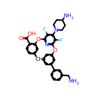 Cc1ccc(C(=O)O)c(Oc2nc(Oc3cccc(-c4cccc(CN)c4)c3)c(F)c(N3CCC(N)CC3)c2F)c1